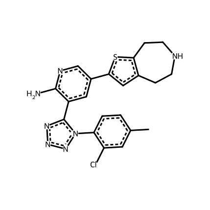 Cc1ccc(-n2nnnc2-c2cc(-c3cc4c(s3)CCNCC4)cnc2N)c(Cl)c1